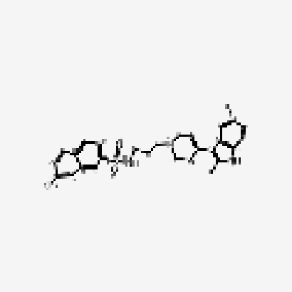 Cc1[nH]c2ccc(Cl)cc2c1C1=CCN(CCCNS(=O)(=O)c2ccc3ccc(Cl)cc3c2)CC1